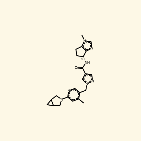 Cc1cc(N2CC3CC3C2)ncc1Cn1cc(C(=O)N[C@@H]2CCc3c2ncn3C)cn1